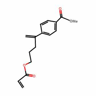 C=CC(=O)OCCCC(=C)c1ccc(C(=O)OC)cc1